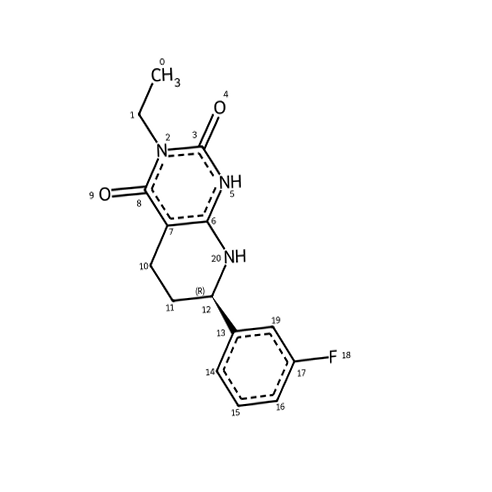 CCn1c(=O)[nH]c2c(c1=O)CC[C@H](c1cccc(F)c1)N2